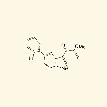 CCc1ccccc1-c1ccc2[nH]cc(C(=O)C(=O)OC)c2c1